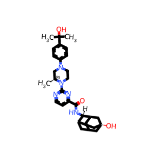 C[C@@H]1CN(c2ccc(C(C)(C)O)cc2)CCN1c1nccc(C(=O)N[C@H]2C3CC4CC2C[C@](O)(C4)C3)n1